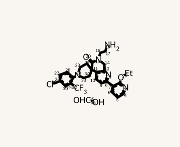 CCOc1ncccc1-c1ccc2c(n1)CN(CCN)C(=O)C21CCN(c2ccc(Cl)cc2C(F)(F)F)CC1.O=CO